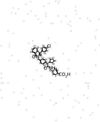 O=C(O)c1ccc(CNC(=O)C(c2ccc(Cn3nc(-c4ccc(Cl)cc4)c4ccccc4c3=O)cc2)C2CCCC2)nc1